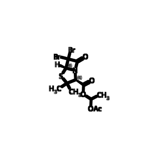 CC(=O)OC(C)OC(=O)[C@@H]1N2C(=O)C(Br)(Br)[C@H]2SC1(C)C